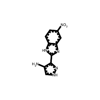 Nc1c[nH]nc1-c1nc2cc([N+](=O)[O-])ccc2[nH]1